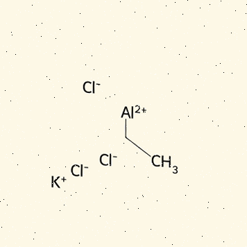 C[CH2][Al+2].[Cl-].[Cl-].[Cl-].[K+]